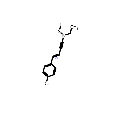 CCN(C#C/C=C/c1ccc(Cl)cc1)SI